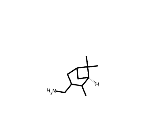 CC1C(CN)CC2C[C@H]1C2(C)C